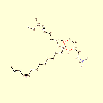 CC=C/C=C\CCCCCCCC[C@@]1(CCCC/C=C/[C@@H](C)CC)OCCC(CCN(C)C)O1